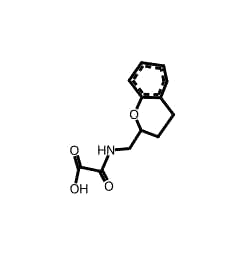 O=C(O)C(=O)NCC1CCc2ccccc2O1